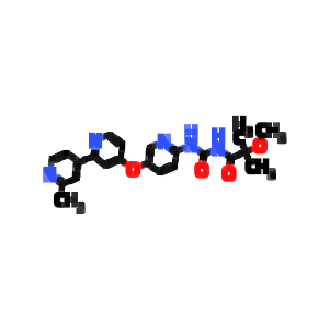 COC(C)(C)C(=O)NC(=O)Nc1ccc(Oc2ccnc(-c3ccnc(C)c3)c2)cn1